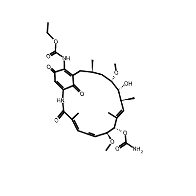 CCOC(=O)NC1=C2C[C@@H](C)C[C@H](OC)[C@H](O)[C@@H](C)/C=C(\C)[C@H](OC(N)=O)[C@@H](OC)/C=C\C=C(/C)C(=O)NC(=CC1=O)C2=O